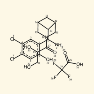 NC(c1cc(Cl)c(Cl)cc1O)C1C2CC1CN(C(=O)C(O)CO)C2.O=C(O)C(F)(F)F